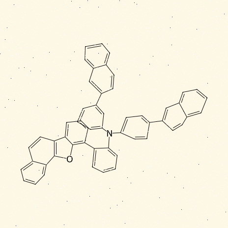 c1cc(-c2ccc3ccccc3c2)cc(N(c2ccc(-c3ccc4ccccc4c3)cc2)c2ccccc2-c2cccc3c2oc2c4ccccc4ccc32)c1